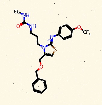 CCNC(=O)NCCCn1c(COCc2ccccc2)cs/c1=N\c1ccc(OC(F)(F)F)cc1